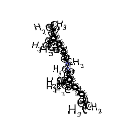 C=C(C)C(=O)Oc1ccc(-c2ccc(-c3ccc(OC(=O)/C(C)=C/C=C(\C)C(=O)Oc4ccc(-c5ccc(-c6ccc(OC(=O)C(=C)C)cc6OC(=O)C(=C)C)cc5SC)cc4)c(OC(=O)C(=C)C)c3)c(SC)c2)cc1